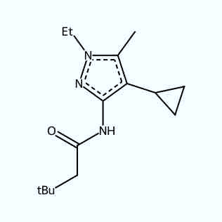 CCn1nc(NC(=O)CC(C)(C)C)c(C2CC2)c1C